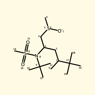 CC(CC(C[S+](C)[O-])N(C(C)(C)C)S(C)(=O)=O)C(C)(C)C